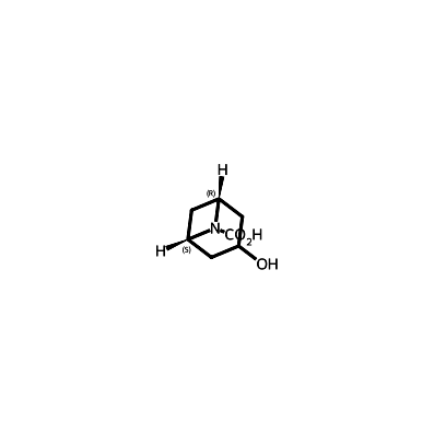 O=C(O)N1[C@@H]2CC(O)C[C@H]1C2